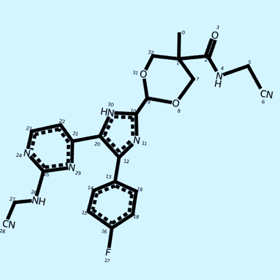 CC1(C(=O)NCC#N)COC(c2nc(-c3ccc(F)cc3)c(-c3ccnc(NCC#N)n3)[nH]2)OC1